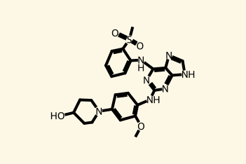 COc1cc(N2CCC(O)CC2)ccc1Nc1nc(Nc2ccccc2S(C)(=O)=O)c2nc[nH]c2n1